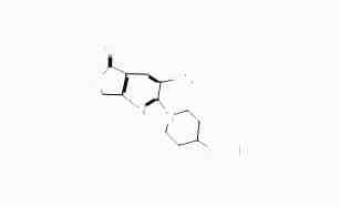 N#Cc1cc2c(nc1N1CCC(C(=O)O)CC1)COC2=O